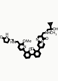 COc1nc(-c2cccc(-c3cccc(-c4ccn5c(=O)c(CNC[C@](C)(O)C6CC6)cnc5c4)c3Cl)c2Cl)ccc1CNC[C@@H]1CCC(=O)N1